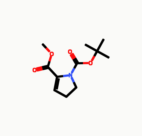 COC(=O)C1=CCCN1C(=O)OC(C)(C)C